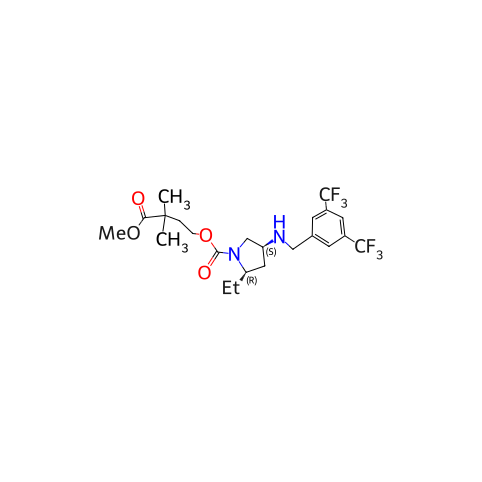 CC[C@@H]1C[C@H](NCc2cc(C(F)(F)F)cc(C(F)(F)F)c2)CN1C(=O)OCCC(C)(C)C(=O)OC